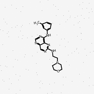 Cc1cccc(Nc2ncnc3cnc(NCCN4CCOCC4)nc23)c1